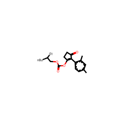 CCCCC(CC)COC(=O)OC1=C(c2ccc(C)cc2C)C(=O)CC1